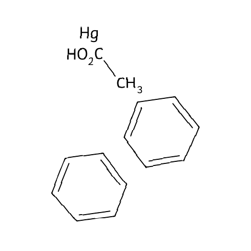 CC(=O)O.[Hg].c1ccccc1.c1ccccc1